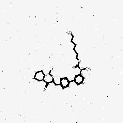 CCCCCCCNC(=O)N(C)c1cccc(-c2ccc(CC(OCC)C(=O)N3CCCCC3)cc2)c1